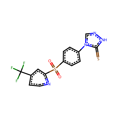 O=S(=O)(c1ccc(-n2cn[nH]c2=S)cc1)c1cc(C(F)(F)F)ccn1